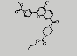 CCCOC(=O)N1CCN(C(=O)c2ccc3c(Cl)cc(-c4ccn(C(=O)OC)c4)nc3c2)CC1